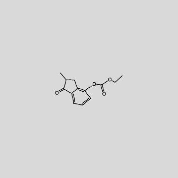 CCOC(=O)Oc1cccc2c1CC(C)C2=O